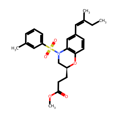 CC/C(C)=C\c1ccc2c(c1)N(S(=O)(=O)c1cccc(C)c1)C[C@H](CCC(=O)OC)O2